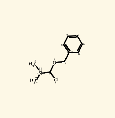 C[SiH](C)C(Cl)OCc1ccccc1